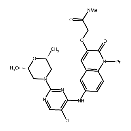 CNC(=O)COc1cc2cc(Nc3nc(N4C[C@@H](C)O[C@@H](C)C4)ncc3Cl)ccc2n(C(C)C)c1=O